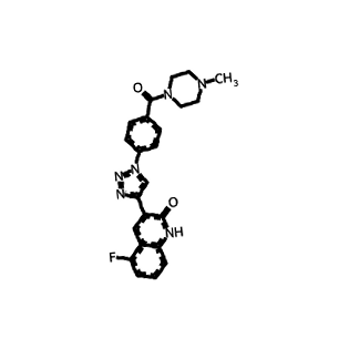 CN1CCN(C(=O)c2ccc(-n3cc(-c4cc5c(F)cccc5[nH]c4=O)nn3)cc2)CC1